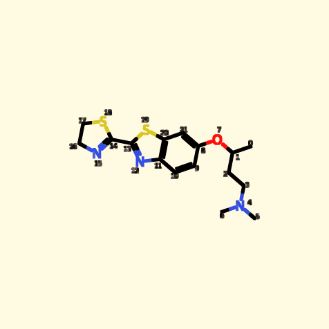 CC(CCN(C)C)Oc1ccc2nc(C3=NCCS3)sc2c1